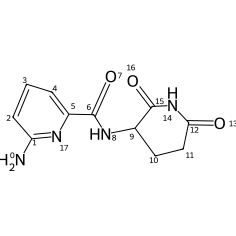 Nc1cccc(C(=O)NC2CCC(=O)NC2=O)n1